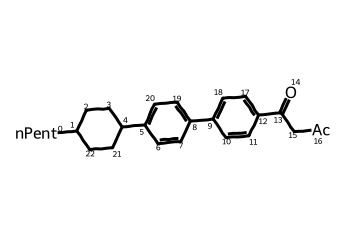 CCCCCC1CCC(c2ccc(-c3ccc(C(=O)CC(C)=O)cc3)cc2)CC1